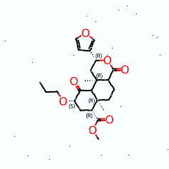 CCCO[C@H]1C[C@@H](C(=O)OC)[C@]2(C)CCC3C(=O)O[C@@H](c4ccoc4)C[C@]3(C)C2C1=O